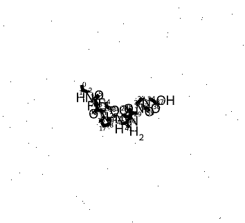 CCCNC(=O)C(F)(F)C(=O)[C@H](C(C)C)N1CCC[C@H]1C(=O)NC(=O)[C@](N)(C(=O)CN1CCN(CC(=O)O)C1=O)C(C)C